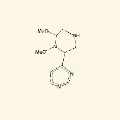 COC1CNCC(c2ccncn2)N1OC